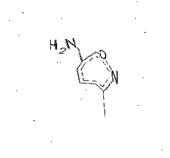 Nc1cc(I)no1